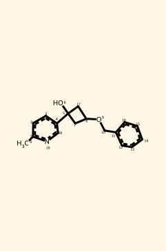 Cc1ccc(C2(O)CC(OCc3ccccc3)C2)cn1